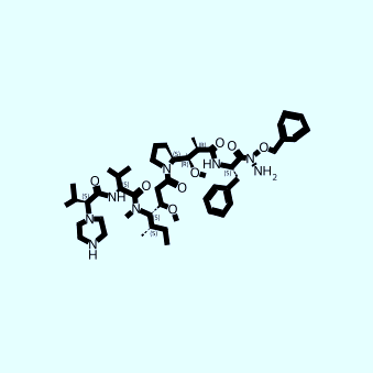 CC[C@H](C)[C@@H](C(CC(=O)N1CCC[C@H]1[C@H](OC)[C@@H](C)C(=O)N[C@@H](Cc1ccccc1)C(=O)N(N)OCc1ccccc1)OC)N(C)C(=O)[C@@H](NC(=O)[C@H](C(C)C)N1CCNCC1)C(C)C